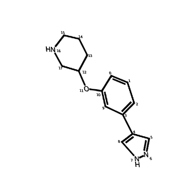 [c]1ccc(-c2cn[nH]c2)cc1OC1CCCNC1